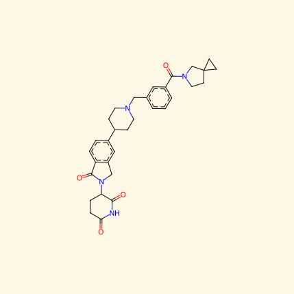 O=C1CCC(N2Cc3cc(C4CCN(Cc5cccc(C(=O)N6CCC7(CC7)C6)c5)CC4)ccc3C2=O)C(=O)N1